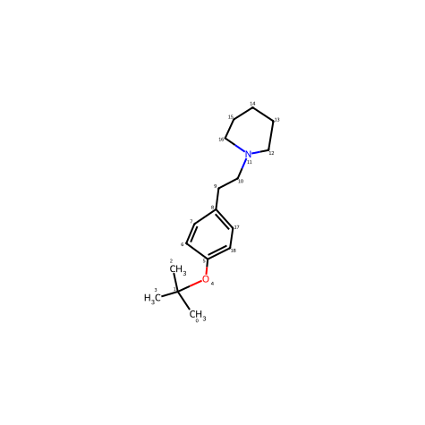 CC(C)(C)Oc1ccc(CCN2CCCCC2)cc1